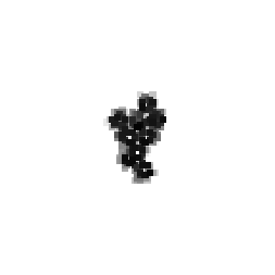 c1ccc(-c2cc(-c3ccccc3-c3ccc(-c4ccc5c6c(cccc46)-c4ccccc4-5)cc3)nc(-c3ccccc3-c3ccccc3)n2)cc1